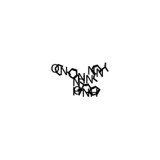 CC(C)c1ccnc(C(C)Nc2c(-c3nc4ccc(N5CCOCC5)cc4[nH]3)c(=O)[nH]c3ccccc23)n1